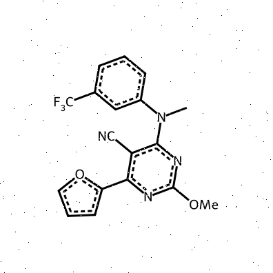 COc1nc(-c2ccco2)c(C#N)c(N(C)c2cccc(C(F)(F)F)c2)n1